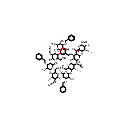 CO[C@H]1OC(CO)[C@@H](O[C@@H]2OC(C)[C@@H](O[C@H]3OC(CO)[C@H](O[C@@H]4OC(C)[C@@H](O[C@H]5OC(CO)[C@@H](O[C@@H]6OC(C)[C@@H](O[C@@H]7OC(CO)[C@H](O[C@@H]8OC(C)[C@@H](C)[C@@H](OCc9ccccc9)C8O)[C@H](C)C7N=[N+]=[N-])[C@@H](OCc7ccccc7)C6O)[C@H](C)C5N=[N+]=[N-])[C@@H](OCc5ccccc5)C4O)[C@H](C)C3N=[N+]=[N-])[C@@H](OCc3ccccc3)C2O)[C@H](C)C1C